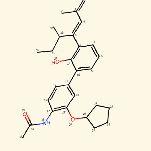 C/C=C(C)\C=C(\c1cccc(-c2ccc(NC(C)=O)c(OC3CCCC3)c2)c1O)C(C)CC